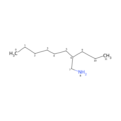 CCCCCCC(CN)CCC